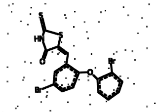 O=C1NC(=S)SC1=Cc1cc(Br)ccc1Oc1ccccc1Br